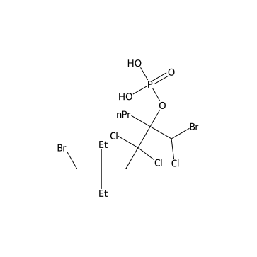 CCCC(OP(=O)(O)O)(C(Cl)Br)C(Cl)(Cl)CC(CC)(CC)CBr